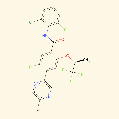 Cc1cnc(-c2cc(O[C@@H](C)C(F)(F)F)c(C(=O)Nc3c(F)cccc3Cl)cc2F)cn1